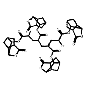 CCC(CC(CC(CC(C)C(=O)OC1C2CC3C(=O)OC1C3C2)C(=O)OC1C2CC3C(=O)OC1C3C2)C(=O)OC1C2CC3C(=O)OC1C3C2)C(=O)OC1C2CC3C(=O)OC1C3C2